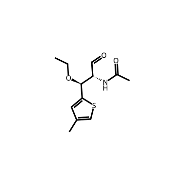 CCO[C@H](c1cc(C)cs1)[C@H](C=O)NC(C)=O